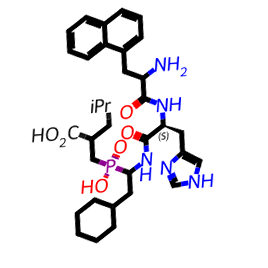 CC(C)CC(CP(=O)(O)C(CC1CCCCC1)NC(=O)[C@H](Cc1c[nH]cn1)NC(=O)C(N)Cc1cccc2ccccc12)C(=O)O